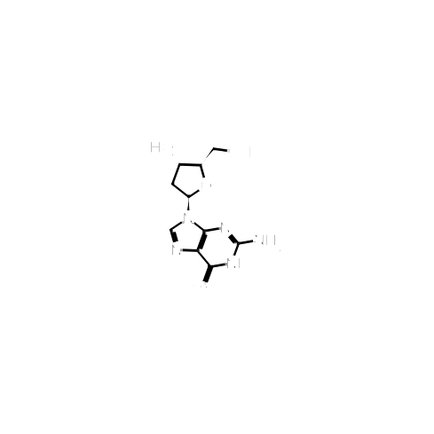 Nc1nc2c(ncn2[C@H]2C[C@H](O)[C@@H](CO)O2)c(=[Se])[nH]1